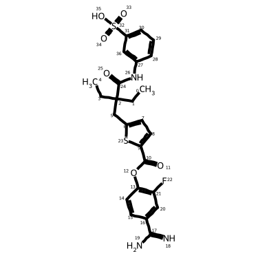 CCC(CC)(Cc1ccc(C(=O)Oc2ccc(C(=N)N)cc2F)s1)C(=O)Nc1cccc(S(=O)(=O)O)c1